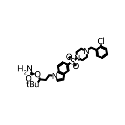 CC(C)(C)C(CCn1ccc2cc(S(=O)(=O)N3CCN(Cc4ccccc4Cl)CC3)ccc21)OC(N)=O